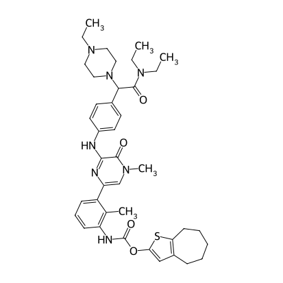 CCN1CCN(C(C(=O)N(CC)CC)c2ccc(Nc3nc(-c4cccc(NC(=O)Oc5cc6c(s5)CCCCC6)c4C)cn(C)c3=O)cc2)CC1